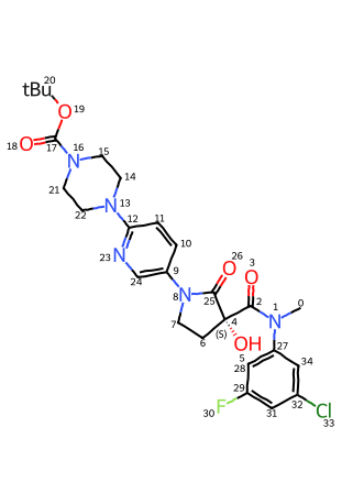 CN(C(=O)[C@@]1(O)CCN(c2ccc(N3CCN(C(=O)OC(C)(C)C)CC3)nc2)C1=O)c1cc(F)cc(Cl)c1